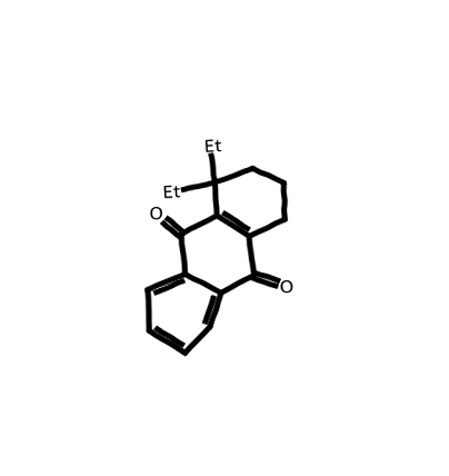 CCC1(CC)CCCC2=C1C(=O)c1ccccc1C2=O